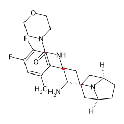 Cc1cc(F)c(F)cc1CC(N)[C@@H]1C[C@H]2CC[C@@H](C1)N2CCCNC(=O)N1CCOCC1